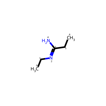 CCN=C(N)CC